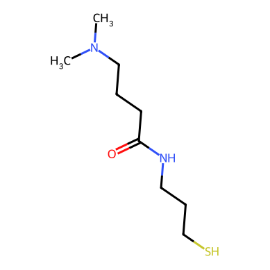 CN(C)CCCC(=O)NCCCS